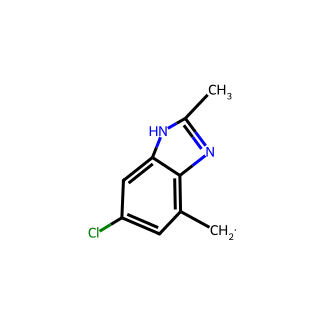 [CH2]c1cc(Cl)cc2[nH]c(C)nc12